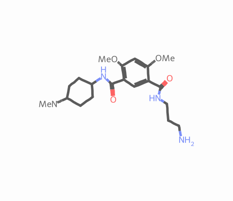 CNC1CCC(NC(=O)c2cc(C(=O)NCCCN)c(OC)cc2OC)CC1